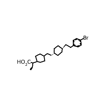 C=CC(C(=O)O)C1CCC(CC[C@H]2CC[C@H](CCc3ccc(Br)cc3)CC2)CC1